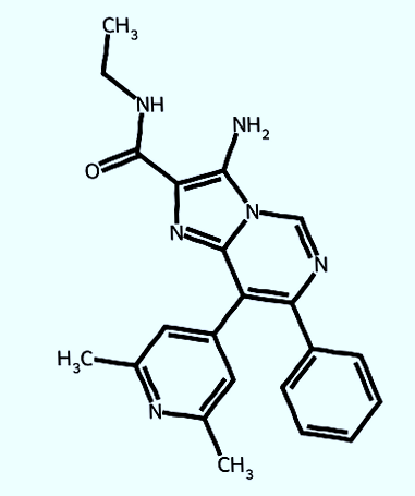 CCNC(=O)c1nc2c(-c3cc(C)nc(C)c3)c(-c3ccccc3)ncn2c1N